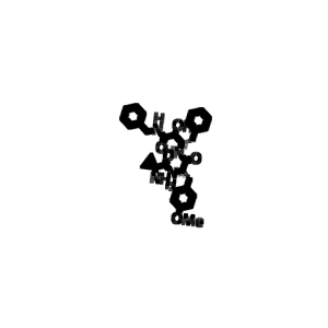 COc1ccc(C[C@H](NC(=O)C2(N)CC2)C(=O)N[C@@H](Cc2ccccc2)C(O)C(=O)NCc2ccccc2)cc1